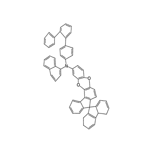 C1=CCC2C(=C1)C1(C3=C2C=CCC3)c2ccccc2-c2c1ccc1c2Oc2cc(N(c3ccc(-c4ccccc4-c4ccccc4)cc3)c3cccc4ccccc34)ccc2O1